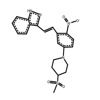 CS(=O)(=O)C1CCN(c2ccc([N+](=O)[O-])c(C=Cc3n[nH]c4ccccc34)c2)CC1